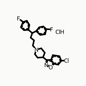 Cl.Fc1ccc(C(CCCN2CCC(c3noc4cc(Cl)ccc34)CC2)c2ccc(F)cc2)cc1